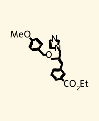 CCOC(=O)c1cccc(/C=C(\COCc2ccc(OC)cc2)Cn2ccnc2)c1